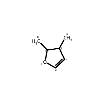 C[C]1OC=CC1C